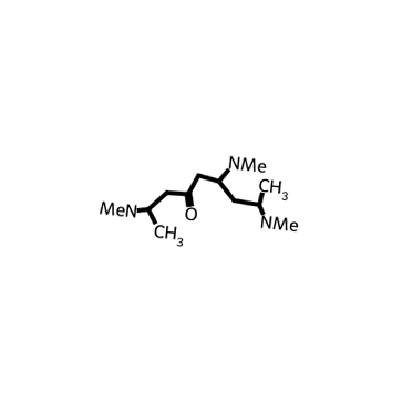 CNC(C)CC(=O)CC(CC(C)NC)NC